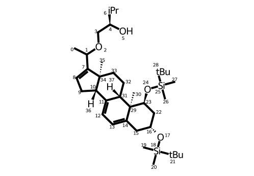 CC(OC[C@H](O)C(C)C)C1=CC[C@H]2C3=CC=C4C[C@@H](O[Si](C)(C)C(C)(C)C)C[C@H](O[Si](C)(C)C(C)(C)C)[C@]4(C)[C@H]3CC[C@]12C